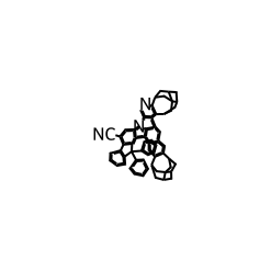 N#Cc1cc2c(c3c1-c1ccccc1C3(c1ccccc1)c1ccccc1)c1c3cc4c(cc3cc3c5c6c(ncc5n2c31)C1CC2CC3CC6CC23C1)C1CC2CC3CC4CC23C1